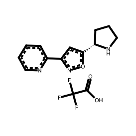 O=C(O)C(F)(F)F.c1ccc(-c2cc([C@@H]3CCCN3)on2)nc1